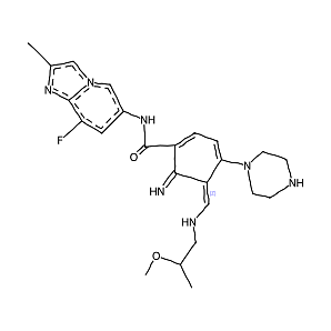 COC(C)CN/C=C1\C(=N)C(C(=O)Nc2cc(F)c3nc(C)cn3c2)=CC=C1N1CCNCC1